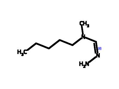 CCCCCN(C)/C=N\N